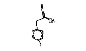 C=C=C(O)Cc1ccc(C)cc1